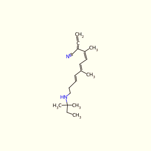 C=C=C(C#N)\C(C)=C/C=C(C)/C=C/CCNC(C)(C)CC